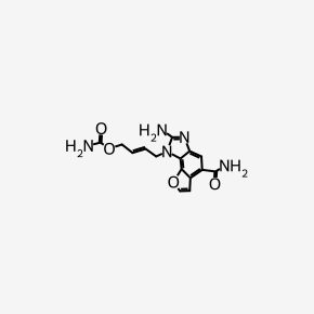 NC(=O)OC/C=C/Cn1c(N)nc2cc(C(N)=O)c3ccoc3c21